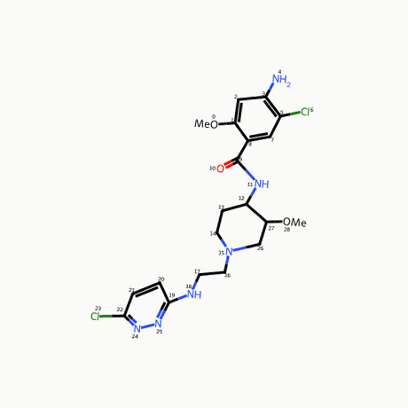 COc1cc(N)c(Cl)cc1C(=O)NC1CCN(CCNc2ccc(Cl)nn2)CC1OC